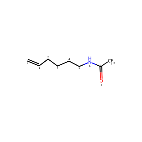 C=CCCCCNC(=O)C(F)(F)F